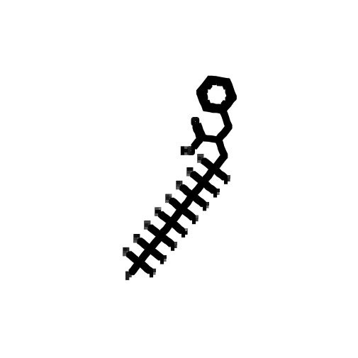 O=C(O)C(Cc1ccccc1)CC(F)(F)C(F)(F)C(F)(F)C(F)(F)C(F)(F)C(F)(F)C(F)(F)C(F)(F)F